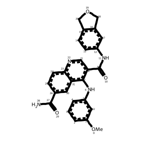 COc1cccc(Nc2c(C(=O)Nc3ccc4c(c3)COC4)cnc3ccc(C(N)=O)cc23)c1